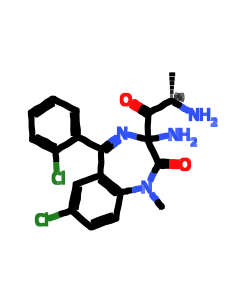 C[C@H](N)C(=O)C1(N)N=C(c2ccccc2Cl)c2cc(Cl)ccc2N(C)C1=O